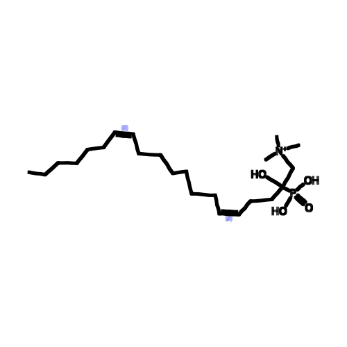 CCCCCC/C=C\CCCCCC/C=C\CCC(O)(C[N+](C)(C)C)P(=O)(O)O